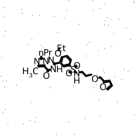 CCCc1nc(C)c2c(=O)[nH]c(-c3cc(S(=O)(=O)NCCCOCc4ccco4)ccc3OCC)nn12